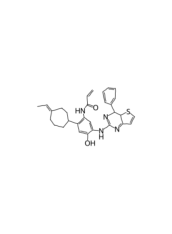 C=CC(=O)Nc1cc(NC2=NC(c3ccccc3)C3SC=CC3=N2)c(O)cc1C1CCC/C(=C\C)CC1